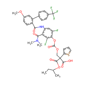 CCC(C)OC(=O)C(COC(=O)Oc1c(F)cc(NC(=O)c2ccc(OC)cc2-c2ccc(C(F)(F)F)cc2)c(C(=O)N(C)C)c1F)(C(=O)O)c1cccs1